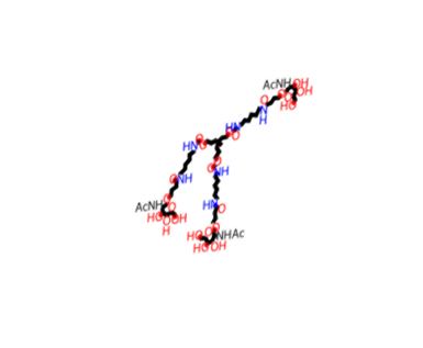 CC(=O)NC1C(OCCCC(=O)NCCCCCCNC(=O)OCCCC(C)(CCCOC(=O)NCCCCCCNC(=O)CCCOC2OC(CO)C(O)C(O)C2NC(C)=O)CCOC(=O)NCCCCCCNC(=O)CCCOC2OC(CO)C(O)C(O)C2NC(C)=O)OC(CO)C(O)C1O